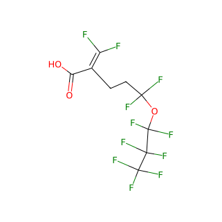 O=C(O)C(CCC(F)(F)OC(F)(F)C(F)(F)C(F)(F)F)=C(F)F